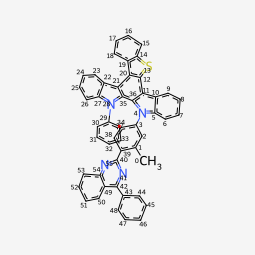 Cc1cc(-n2c3ccccc3c3c4sc5ccccc5c4c4c5ccccc5n(-c5ccccc5)c4c32)ccc1-c1nc(-c2ccccc2)c2ccccc2n1